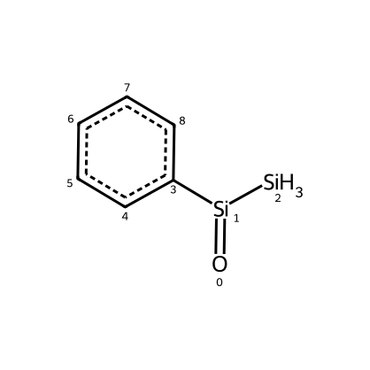 O=[Si]([SiH3])c1ccccc1